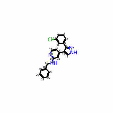 Clc1cccc(-c2n[nH]cc2-c2ccnc(NCc3ccccc3)c2)c1